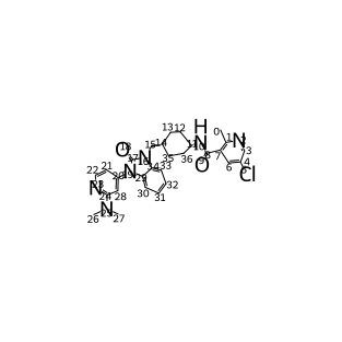 Cc1ncc(Cl)cc1C(=O)N[C@H]1CC[C@H](Cn2c(=O)n(-c3ccnc(N(C)C)c3)c3ccccc32)CC1